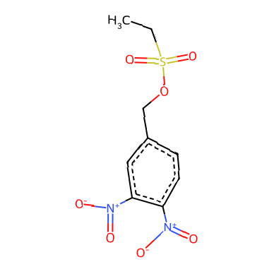 CCS(=O)(=O)OCc1ccc([N+](=O)[O-])c([N+](=O)[O-])c1